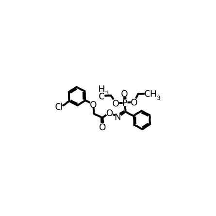 CCOP(=O)(OCC)C(=NOC(=O)COc1cccc(Cl)c1)c1ccccc1